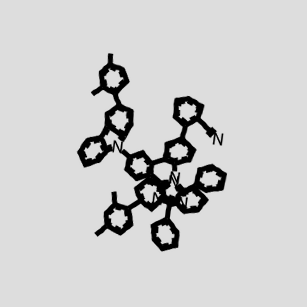 Cc1ccc(-c2ccc3c(c2)c2ccccc2n3-c2ccc(-c3nc(-c4ccccc4)nc(-c4ccccc4)n3)c(-c3cc(-c4ccccc4C#N)ccc3-n3c4ccccc4c4cc(-c5ccc(C)cc5C)ccc43)c2)c(C)c1